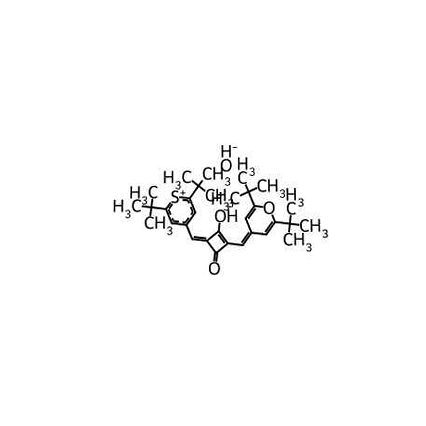 CC(C)(C)C1=CC(=CC2=C(O)C(=Cc3cc(C(C)(C)C)[s+]c(C(C)(C)C)c3)C2=O)C=C(C(C)(C)C)O1.[OH-]